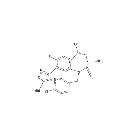 CC(C)(C)c1nc(-c2cc3c(cc2F)[S+]([O-])C[C@H](N)C(=O)N3Cc2ccc(Cl)cc2)no1